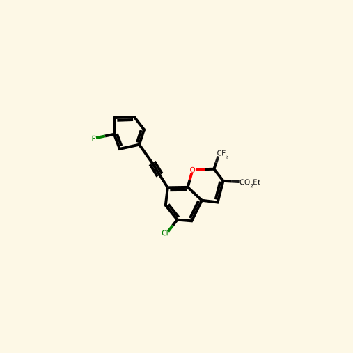 CCOC(=O)C1=Cc2cc(Cl)cc(C#Cc3cccc(F)c3)c2OC1C(F)(F)F